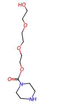 O=C(OCCOCCOCCO)N1CCNCC1